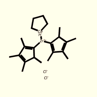 CC1=C(C)C(C)[C]([Zr+2]([C]2=C(C)C(C)=C(C)C2C)[GeH]2[CH2]CC[CH2]2)=C1C.[Cl-].[Cl-]